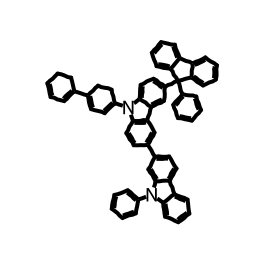 C1=CCCC(C2=CC=C(n3c4ccc(-c5ccc6c7ccccc7n(-c7ccccc7)c6c5)cc4c4cc(C5(c6ccccc6)c6ccccc6-c6ccccc65)ccc43)CC2)=C1